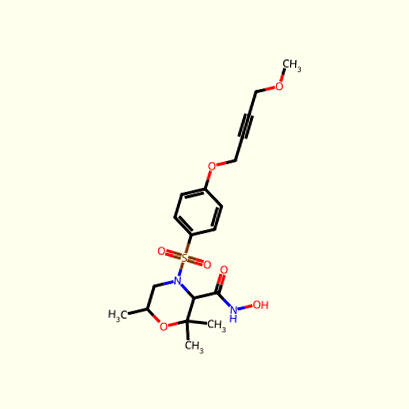 COCC#CCOc1ccc(S(=O)(=O)N2CC(C)OC(C)(C)C2C(=O)NO)cc1